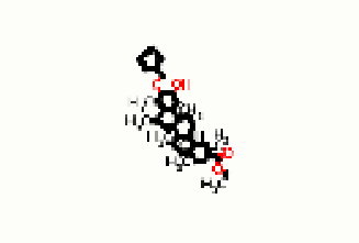 CCOC(=O)[C@]1(C)CC[C@]2(C)CC[C@]3(C)C4=CC(C)C5=C(C)C(OCc6ccccc6)C(O)C=C5[C@]4(C)CC[C@@]3(C)[C@@H]2C1